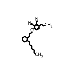 CCCCCCCC1CCCCC1CCCOc1ccc(CCC)c(C#N)c1C#N